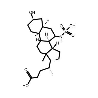 C[C@H](CCC(=O)O)[C@H]1CC[C@H]2[C@@H]3[C@H](NS(=O)(=O)O)C[C@@H]4C[C@H](O)CC[C@]4(C)[C@H]3CCC12C